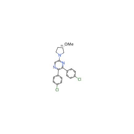 CO[C@H]1CCN(c2cnc(-c3ccc(Cl)cc3)c(-c3ccc(Cl)cc3)n2)C1